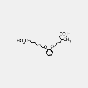 CC(CCCOc1ccccc1OCCCCCCC(=O)O)CC(=O)O